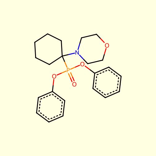 O=P(Oc1ccccc1)(Oc1ccccc1)C1(N2CCOCC2)CCCCC1